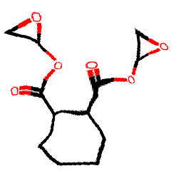 O=C(OC1CO1)C1CCCCC1C(=O)OC1CO1